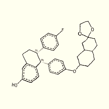 Oc1ccc2c(c1)CC[C@H](c1ccc(F)cc1)[C@@H]2c1ccc(OC2CCC3CCC4(CC3C2)OCCO4)cc1